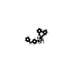 CCOC(=NC(=O)c1ccc(Cc2ccccc2)cc1)N1Cc2ccccc2-c2ccccc2C1